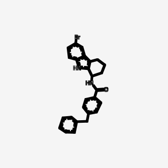 O=C(NC1CCCc2c1[nH]c1ccc(Br)cc21)c1ccc(Cc2ccccc2)cc1